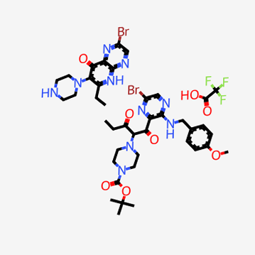 CCC(=O)C(C(=O)c1nc(Br)cnc1NCc1ccc(OC)cc1)N1CCN(C(=O)OC(C)(C)C)CC1.CCc1[nH]c2ncc(Br)nc2c(=O)c1N1CCNCC1.O=C(O)C(F)(F)F